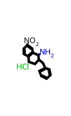 Cl.NC1c2cc([N+](=O)[O-])ccc2CCC1Cc1ccccc1